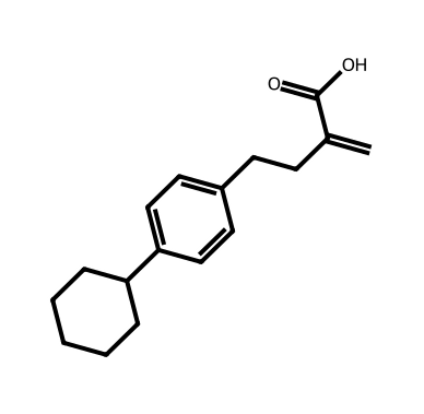 C=C(CCc1ccc(C2CCCCC2)cc1)C(=O)O